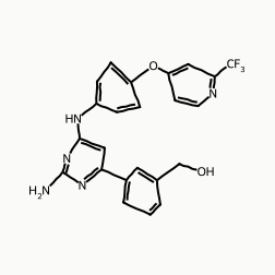 Nc1nc(Nc2ccc(Oc3ccnc(C(F)(F)F)c3)cc2)cc(-c2cccc(CO)c2)n1